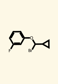 Fc1cccc(OC(Br)C2CC2)c1